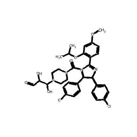 COc1ccc(C2=NC(c3ccc(Cl)cc3)C(c3ccc(Cl)cc3)N2C(=O)N2CCN(C(O)C(O)C=O)CC2)c(OC(C)C)c1